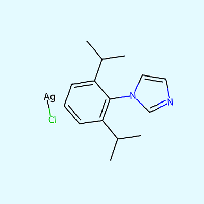 CC(C)c1cccc(C(C)C)c1-n1ccnc1.[Cl][Ag]